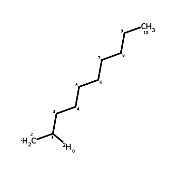 [2H]C([CH2])CCCCCCCC